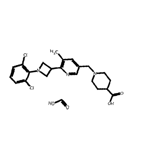 Cc1cc(CN2CCC(C(=O)O)CC2)cnc1C1CN(c2c(Cl)cccc2Cl)C1.O=CO